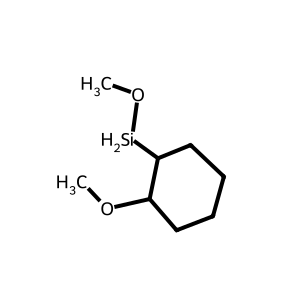 CO[SiH2]C1CCCCC1OC